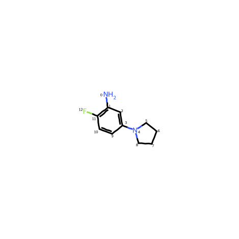 Nc1cc(N2CCCC2)ccc1F